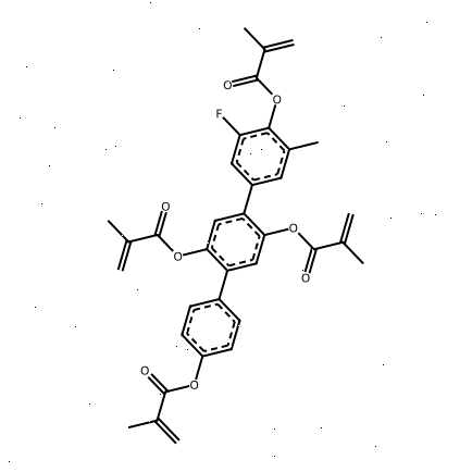 C=C(C)C(=O)Oc1ccc(-c2cc(OC(=O)C(=C)C)c(-c3cc(C)c(OC(=O)C(=C)C)c(F)c3)cc2OC(=O)C(=C)C)cc1